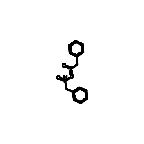 O=[PH](Cc1ccccc1)O[PH](=O)Cc1ccccc1